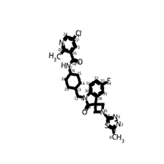 Cc1nnc(N2CC3(C2)C(=O)N(CC2CCC(NC(=O)c4cc(Cl)cnc4C)CC2)c2ccc(F)cc23)s1